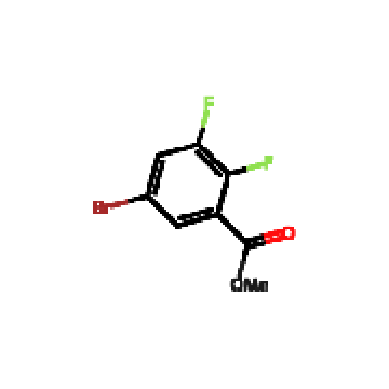 COC(=O)c1cc(Br)cc(F)c1F